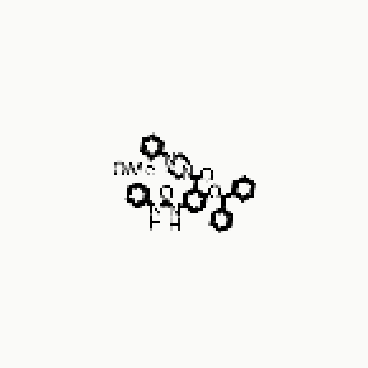 COc1ccccc1N1CCN(C(=O)c2cc(NC(=O)Nc3ccccc3)ccc2OC(c2ccccc2)c2ccccc2)CC1